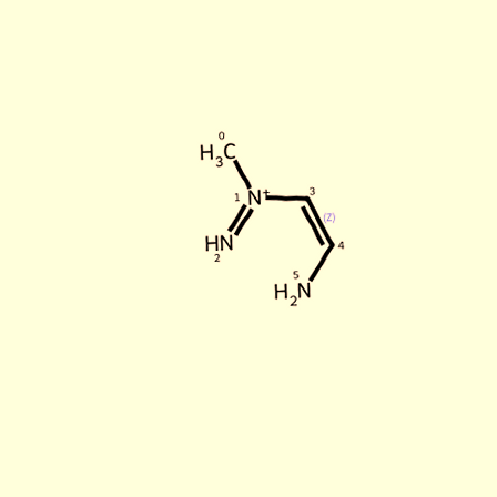 C[N+](=N)/C=C\N